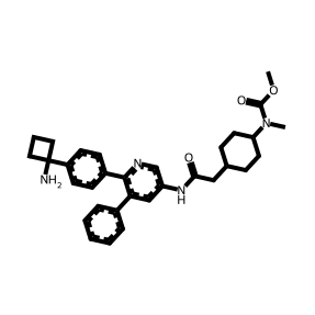 COC(=O)N(C)C1CCC(CC(=O)Nc2cnc(-c3ccc(C4(N)CCC4)cc3)c(-c3ccccc3)c2)CC1